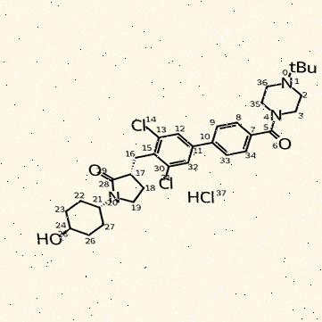 CC(C)(C)N1CCN(C(=O)c2ccc(-c3cc(Cl)c(C[C@@H]4CCN([C@H]5CC[C@H](O)CC5)C4=O)c(Cl)c3)cc2)CC1.Cl